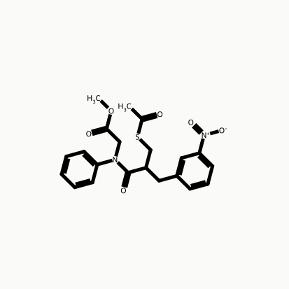 COC(=O)CN(C(=O)C(CSC(C)=O)Cc1cccc([N+](=O)[O-])c1)c1ccccc1